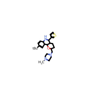 CN1CCN(CC2CCC3C(c4ccsc4)NC4C=CC(C(C)(C)C)=CC4C3O2)CC1